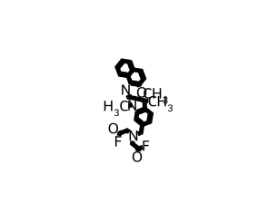 CN1c2cc(CN(CC(=O)F)CC(=O)F)ccc2C(C)(C)C12C=Nc1c(ccc3ccccc13)O2